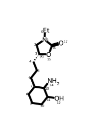 CCN1C[C@@H](CCCC2CCCC(O)C2N)OC1=O